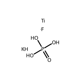 O=P(O)(O)O.[F].[KH].[Ti]